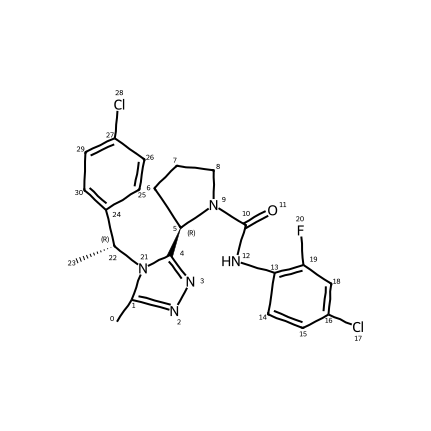 Cc1nnc([C@H]2CCCN2C(=O)Nc2ccc(Cl)cc2F)n1[C@H](C)c1ccc(Cl)cc1